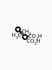 C[Si](C)(c1ccccc1)c1ccc(C(=O)O)c(C(=O)O)c1